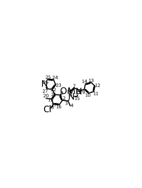 COc1c(C(C)N2C=CN(c3ccccc3)C2)cc(Cl)c(C)c1-c1cccnc1